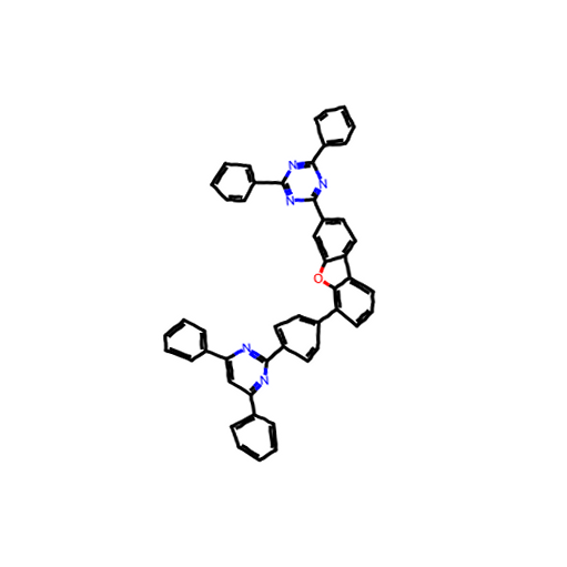 c1ccc(-c2cc(-c3ccccc3)nc(-c3ccc(-c4cccc5c4oc4cc(-c6nc(-c7ccccc7)nc(-c7ccccc7)n6)ccc45)cc3)n2)cc1